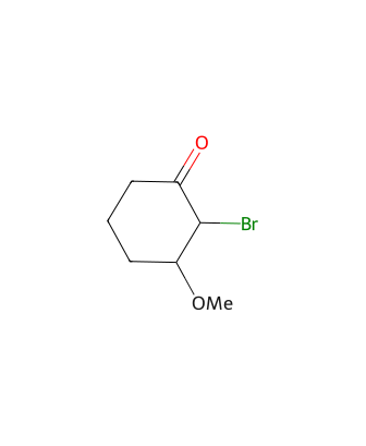 COC1CCCC(=O)C1Br